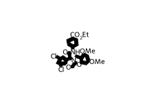 CCOC(=O)c1ccc(NC(=O)C2c3cc(Cl)cc(Cl)c3OCC(=O)N2Cc2ccc(OC)cc2OC)cc1